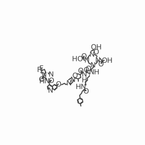 Cc1ccc(CCCC(=O)NCCCCC[C@H](NC(=O)CN2CCN(CC(=O)O)CCN(CC(=O)O)CCN(CC(=O)O)CC2)C(=O)NC(=O)C(C)CC(C)C(=O)N2CCN(CCCOc3ccc4nccc(C(=O)NCC(=O)N5CC(F)(F)C[C@@H]5C#N)c4c3)CC2)cc1